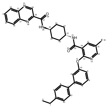 [CH2]Cc1ccc(-c2cccc(Oc3ncc(F)cc3C(=O)N[C@H]3CC[C@H](NC(=O)c4cnc5ccccc5n4)CC3)c2)cc1